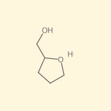 OCC1CCCO1.[H]